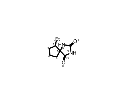 CCC1CCCC12NC(=O)NC2=O